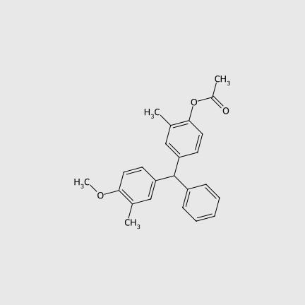 COc1ccc(C(c2ccccc2)c2ccc(OC(C)=O)c(C)c2)cc1C